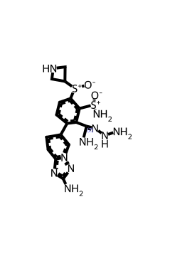 NN/N=C(\N)c1c(-c2ccc3nc(N)nn3c2)ccc([S+]([O-])C2CNC2)c1[S+](N)[O-]